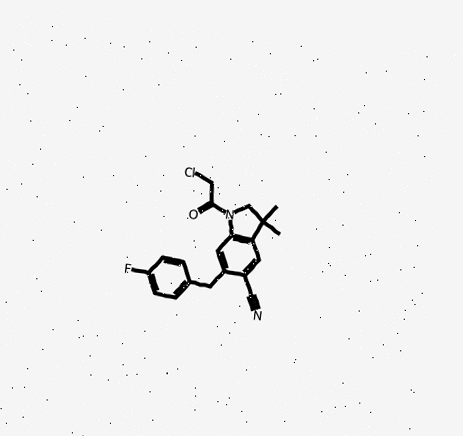 CC1(C)CN(C(=O)CCl)c2cc(Cc3ccc(F)cc3)c(C#N)cc21